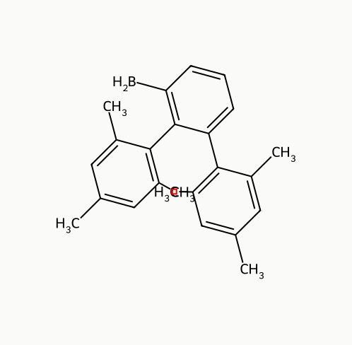 Bc1cccc(-c2c(C)cc(C)cc2C)c1-c1c(C)cc(C)cc1C